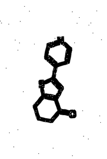 O=C1CCCc2sc(-c3ccncc3)cc21